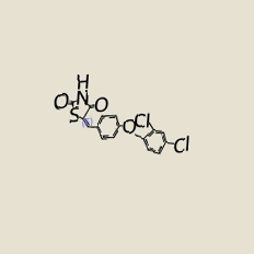 O=C1NC(=O)/C(=C\c2ccc(OCc3ccc(Cl)cc3Cl)cc2)S1